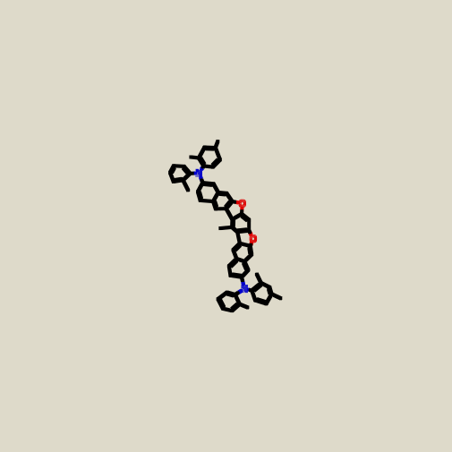 Cc1ccc(N(c2ccc3cc4c(cc3c2)oc2cc3oc5cc6cc(N(c7ccccc7C)c7ccc(C)cc7C)ccc6cc5c3c(C)c24)c2ccccc2C)c(C)c1